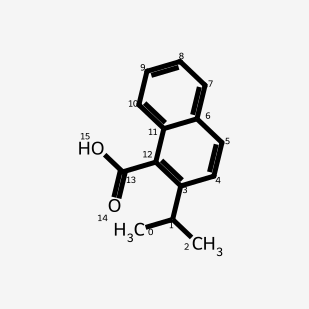 CC(C)c1ccc2ccccc2c1C(=O)O